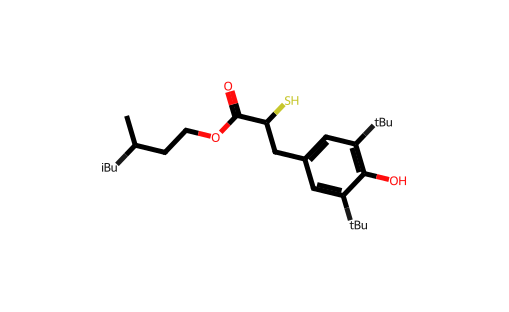 CCC(C)C(C)CCOC(=O)C(S)Cc1cc(C(C)(C)C)c(O)c(C(C)(C)C)c1